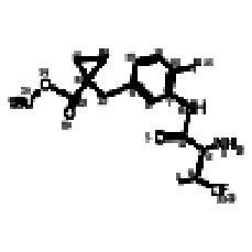 CC([C@H](N)C(=O)Nc1cc(CC2(C(=O)OC(C)(C)C)CC2)ccc1F)C(F)(F)F